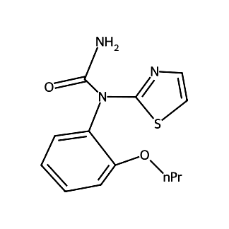 CCCOc1ccccc1N(C(N)=O)c1nccs1